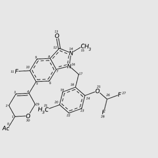 CC(=O)C1CC=C(c2cc3c(cc2F)c(=O)n(C)n3Cc2cc(C)ccc2OC(F)F)CO1